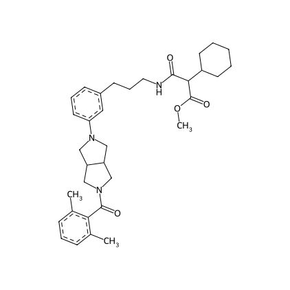 COC(=O)C(C(=O)NCCCc1cccc(N2CC3CN(C(=O)c4c(C)cccc4C)CC3C2)c1)C1CCCCC1